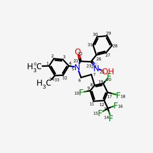 Cc1ccc(N(CCc2c(F)cc(C(F)(F)F)c(F)c2F)C(=O)/C(=N/O)c2ccccc2)cc1C